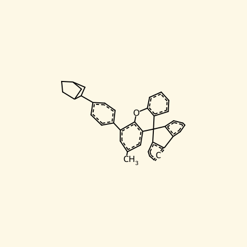 Cc1cc(-c2ccc(C3CC4CCC3C4)cc2)c2c(c1)C1(c3ccccc3O2)c2ccccc2-c2ccccc21